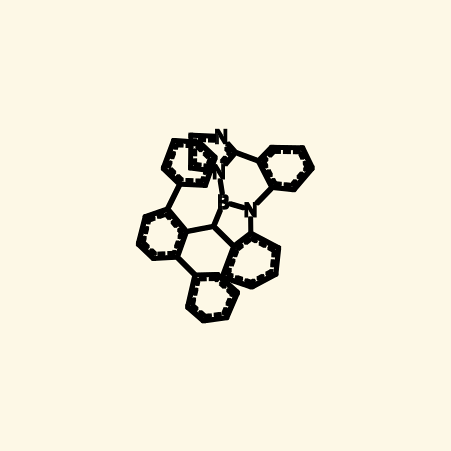 c1ccc(-c2cccc(-c3ccccc3)c2C2B3N(c4ccccc4-c4nccn43)c3ccccc32)cc1